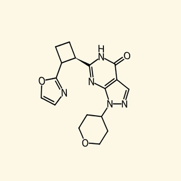 O=c1[nH]c([C@@H]2CCC2c2ncco2)nc2c1cnn2C1CCOCC1